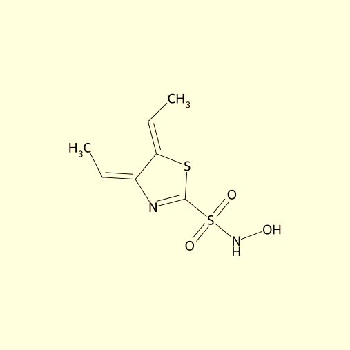 CC=c1nc(S(=O)(=O)NO)sc1=CC